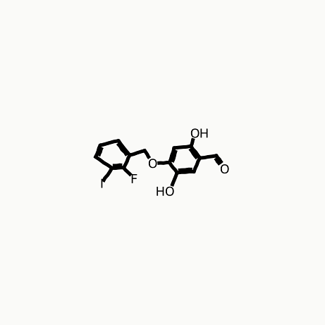 O=Cc1cc(O)c(OCc2cccc(I)c2F)cc1O